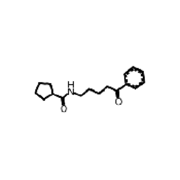 O=C(CCCCNC(=O)C1CCCC1)c1ccccc1